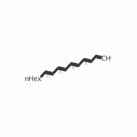 [CH]=C/C=C/C=C/C=C/C=C/CCCCCC